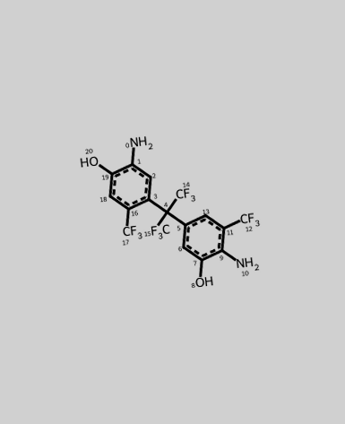 Nc1cc(C(c2cc(O)c(N)c(C(F)(F)F)c2)(C(F)(F)F)C(F)(F)F)c(C(F)(F)F)cc1O